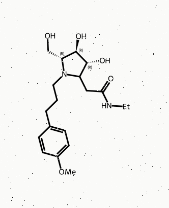 CCNC(=O)CC1[C@@H](O)[C@H](O)[C@@H](CO)N1CCCc1ccc(OC)cc1